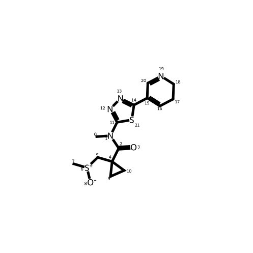 CN(C(=O)C1(C[S+](C)[O-])CC1)c1nnc(C2=CCCN=C2)s1